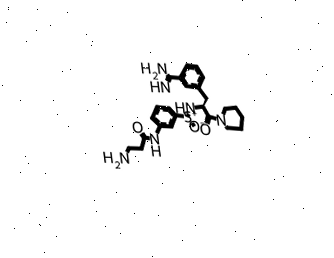 N=C(N)c1cccc(C[C@H](N[S+]([O-])c2cccc(NC(=O)CCN)c2)C(=O)N2CCCCC2)c1